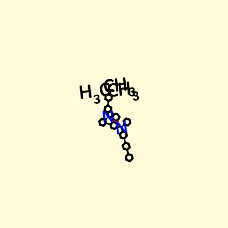 CC(C)(C)c1ccc(-c2ccc3c(c2)c2ccccc2n3-c2ccccc2-c2ccc(N(c3ccccc3)c3ccc(-c4ccc(-c5ccccc5)cc4)cc3)cc2)cc1